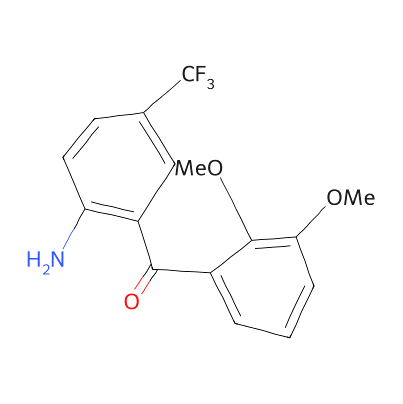 COc1cccc(C(=O)c2cc(C(F)(F)F)ccc2N)c1OC